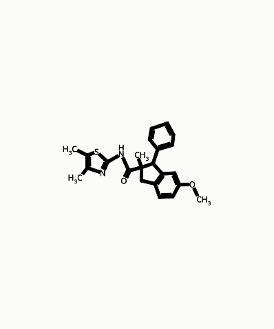 COc1ccc2c(c1)C(c1ccccc1)C(C)(C(=O)Nc1nc(C)c(C)s1)C2